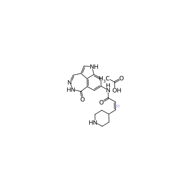 CC(=O)O.O=C(/C=C\C1CCNCC1)Nc1cc2c3c(c[nH]c3c1)C=NNC2=O